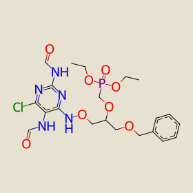 CCOP(=O)(COC(COCc1ccccc1)CONc1nc(NC=O)nc(Cl)c1NC=O)OCC